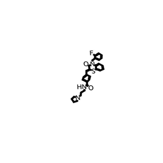 O=C(NCCCN1CCCC1)c1ccc(C=C2Sc3ccccc3N(Cc3ccccc3F)C2=O)cc1